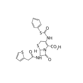 O=C(Cc1cccs1)NC1C(=O)N2C(C(=O)O)=C(NC(=O)Sc3ccccc3)CS[C@H]12